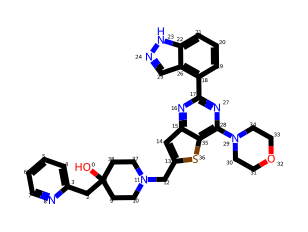 OC1(Cc2ccccn2)CCN(Cc2cc3nc(-c4cccc5[nH]ncc45)nc(N4CCOCC4)c3s2)CC1